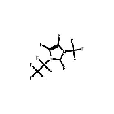 FC1=C(F)N(C(F)(F)C(F)(F)F)C(F)N1C(F)(F)F